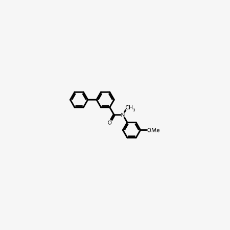 COc1cccc(N(C)C(=O)c2cccc(-c3ccccc3)c2)c1